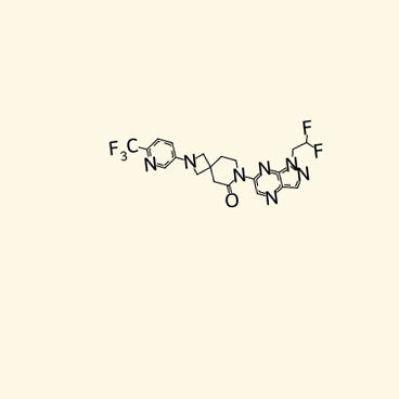 O=C1CC2(CCN1c1cnc3cnn(CC(F)F)c3n1)CN(c1ccc(C(F)(F)F)nc1)C2